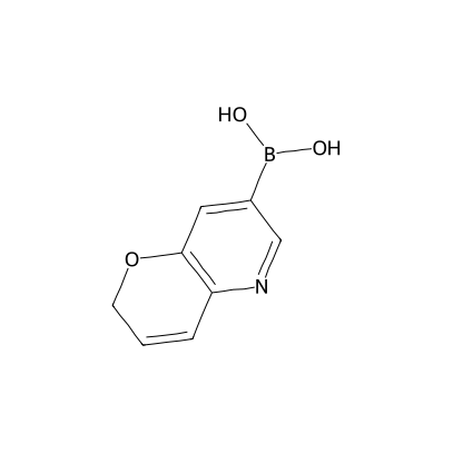 OB(O)c1cnc2c(c1)OCC=C2